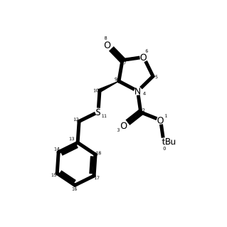 CC(C)(C)OC(=O)N1COC(=O)[C@@H]1CSCc1ccccc1